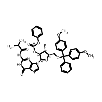 COc1ccc(C(OC[C@H]2O[C@@H](n3cnc4c(=O)[nH]c(NC(=O)C(C)C)nc43)[C@@H](O[PH](=O)Oc3ccccc3)[C@@H]2F)(c2ccccc2)c2ccc(OC)cc2)cc1